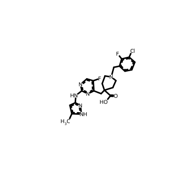 Cc1cc(Nc2ncc(F)c(CC3(C(=O)O)CCN(Cc4cccc(Cl)c4F)CC3)n2)n[nH]1